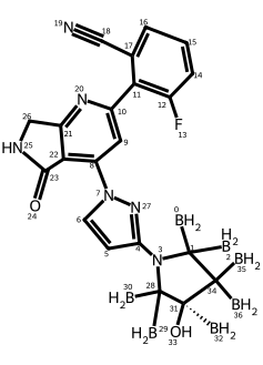 BC1(B)N(c2ccn(-c3cc(-c4c(F)cccc4C#N)nc4c3C(=O)NC4)n2)C(B)(B)[C@](B)(O)C1(B)B